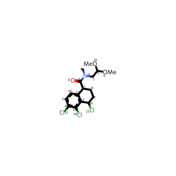 COC(CN(C)C(=O)C1CCC(Cl)c2c1ccc(Cl)c2Cl)OC